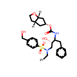 CC(C)CN(C[C@H](O)C(Cc1ccccc1)NC(=O)O[C@@H]1C[C@@H]2CCO[C@@H]2C1)S(=O)(=O)c1ccc(CO)cc1